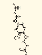 CNCNOc1ccc(OCCN(C)C)c(Cl)c1